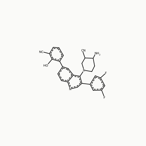 N#Cc1cccc(-c2ccc3ncc(-c4cc(F)cc(F)c4)c(N4CCC(N)C(C#N)C4)c3c2)c1O